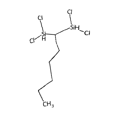 CCCCCC([SiH](Cl)Cl)[SiH](Cl)Cl